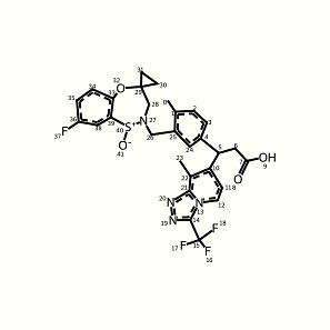 Cc1ccc(C(CC(=O)O)c2ccn3c(C(F)(F)F)nnc3c2C)cc1CN1CC2(CC2)Oc2ccc(F)cc2[S+]1[O-]